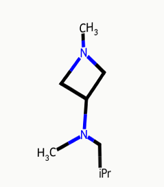 CC(C)CN(C)C1CN(C)C1